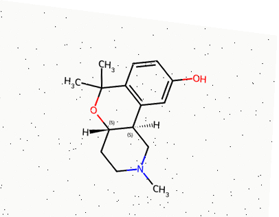 CN1CC[C@@H]2OC(C)(C)c3ccc(O)cc3[C@H]2C1